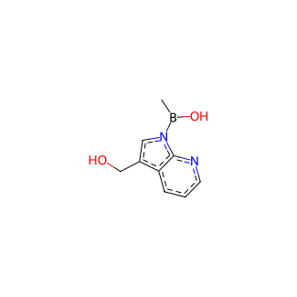 CB(O)n1cc(CO)c2cccnc21